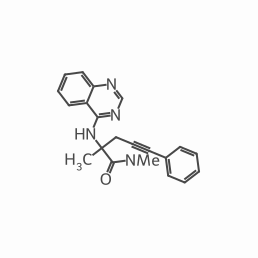 CNC(=O)C(C)(CC#Cc1ccccc1)Nc1ncnc2ccccc12